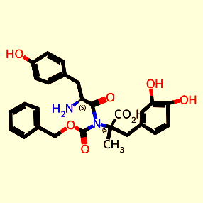 C[C@](Cc1ccc(O)c(O)c1)(C(=O)O)N(C(=O)OCc1ccccc1)C(=O)[C@@H](N)Cc1ccc(O)cc1